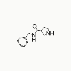 O=C(NCc1ccccc1)C1CCNC1